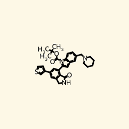 CC(C)(C)OC(=O)n1c(-c2cc(-c3ccsc3)cc3c2C(=O)NC3)cc2cc(CN3CCCCC3)ccc21